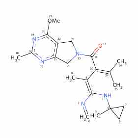 C=N/C(NC1(C)CC1)=C(\C)C(C(=O)N1Cc2nc(C)nc(OC)c2C1)=C(C)C